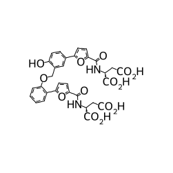 O=C(O)C[C@H](NC(=O)c1ccc(-c2ccc(O)c(COc3ccccc3-c3ccc(C(=O)N[C@@H](CC(=O)O)C(=O)O)o3)c2)o1)C(=O)O